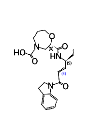 CC[C@@H](/C=C/C(=O)N1CCc2ccccc21)NC(=O)[C@@H]1CN(C(=O)O)CCCO1